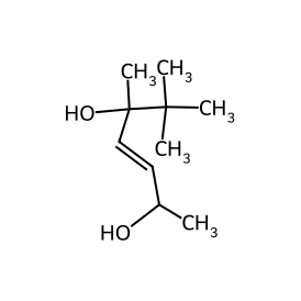 CC(O)C=CC(C)(O)C(C)(C)C